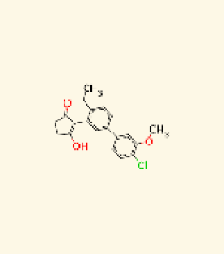 CCc1ccc(-c2ccc(Cl)c(OC)c2)cc1C1=C(O)CCC1=O